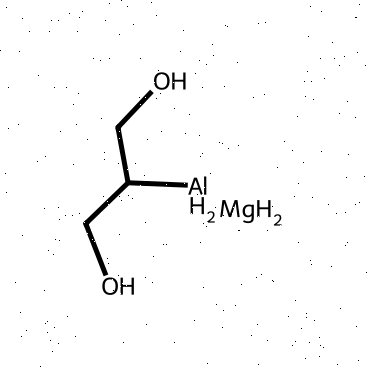 OC[CH]([AlH2])CO.[MgH2]